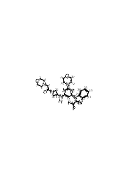 O=C(CN1CCOCC1)N1CC(Nc2cc(-n3c(C(F)F)nc4ccccc43)nc(N3CCOCC3)n2)C1